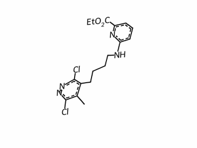 CCOC(=O)c1cccc(NCCCCc2c(Cl)nnc(Cl)c2C)n1